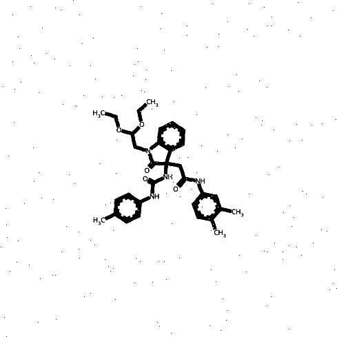 CCOC(CN1C(=O)C(CC(=O)Nc2ccc(C)c(C)c2)(NC(=O)Nc2ccc(C)cc2)c2ccccc21)OCC